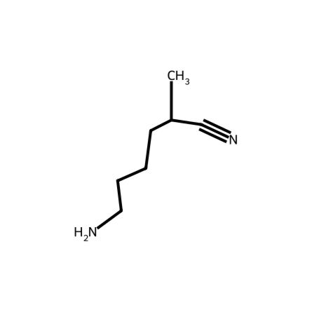 CC(C#N)CCCCN